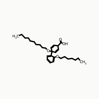 CCCCCCCCCCOC1(c2ccccc2OCCCCCCC)C=CC(C(=O)O)C=C1